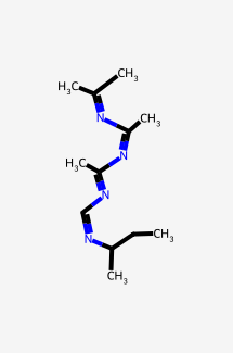 CCC(C)\N=C/N=C(C)/N=C(/C)N=C(C)C